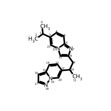 CC(C)c1ccc2nc(CC(C)c3ccc4ccnn4c3)cn2c1